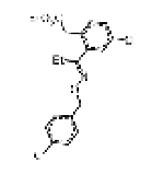 CCOC(=O)Cc1ccc(Cl)cc1/C(CC)=N/OCc1ccc(Cl)cc1